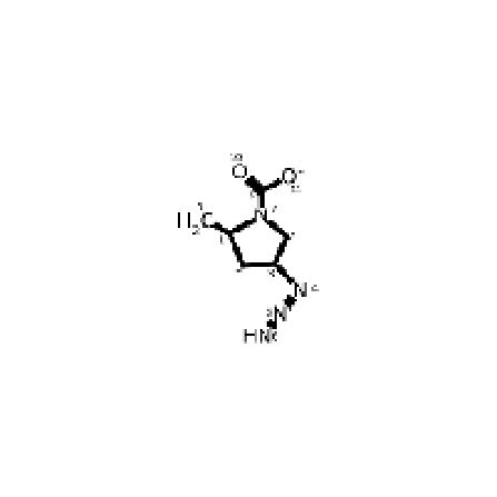 CC1CC(N=[N+]=N)CN1C(=O)[O-]